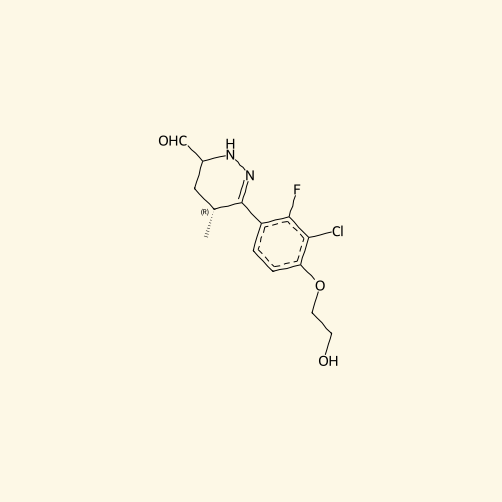 C[C@@H]1CC(C=O)NN=C1c1ccc(OCCO)c(Cl)c1F